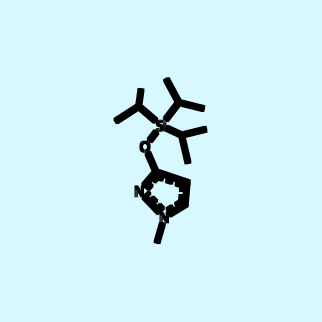 CC(C)[Si](Oc1ccn(C)n1)(C(C)C)C(C)C